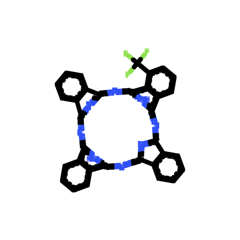 FC(F)(F)c1cccc2c3nc4nc(nc5[nH]c(nc6nc(nc([nH]3)c12)-c1ccccc1-6)c1ccccc51)-c1ccccc1-4